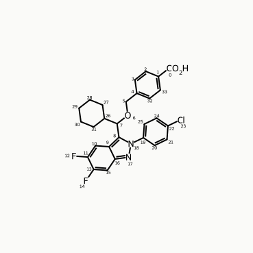 O=C(O)c1ccc(COC(c2c3cc(F)c(F)cc3nn2-c2ccc(Cl)cc2)C2CCCCC2)cc1